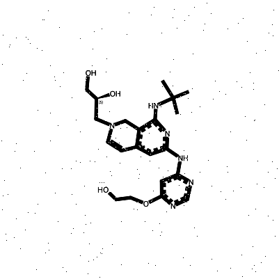 CC(C)(C)Nc1nc(Nc2cc(OCCO)ncn2)cc2c1CN(C[C@H](O)CO)C=C2